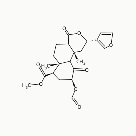 COC(=O)[C@@H]1C[C@H](OC=O)C(=O)C2[C@@]3(C)C[C@@H](c4ccoc4)OC(=O)C3CC[C@]21C